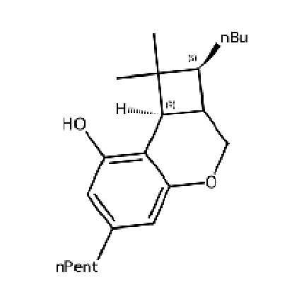 CCCCCc1cc(O)c2c(c1)OCC1[C@@H]2C(C)(C)[C@H]1CCCC